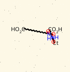 CCOCCNCC(=O)[C@H](CCC(=O)O)NC(=O)CCCCCCCCCCCCCCCCC(=O)O